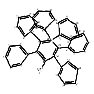 N#CC1=C(c2ccccc2)C(c2ccccc2)=P(c2ccccc2)(c2ccccc2)C(c2ccccc2)=C1c1ccccc1